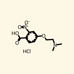 CN(C)CCOc1ccc(C(=O)O)c([N+](=O)[O-])c1.Cl